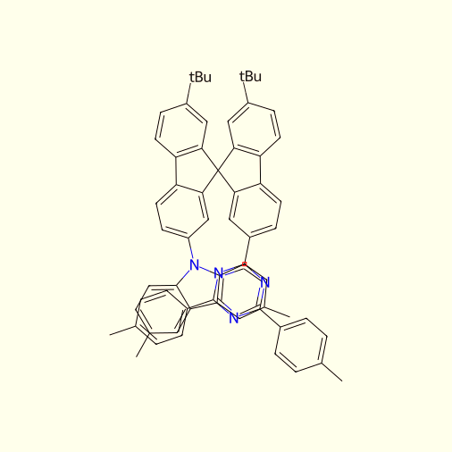 Cc1ccc(-c2nc(-c3ccc(C)cc3)nc(-c3ccc4c(c3)C3(c5cc(-n6c7ccc(C)cc7c7cc(C)ccc76)ccc5-c5ccc(C(C)(C)C)cc53)c3cc(C(C)(C)C)ccc3-4)n2)cc1